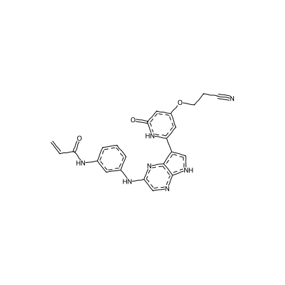 C=CC(=O)Nc1cccc(Nc2cnc3[nH]cc(-c4cc(OCCC#N)cc(=O)[nH]4)c3n2)c1